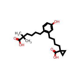 CC(C)(CCCCc1ccc(O)cc1CCCCC1(C(=O)O)CC1)C(=O)O